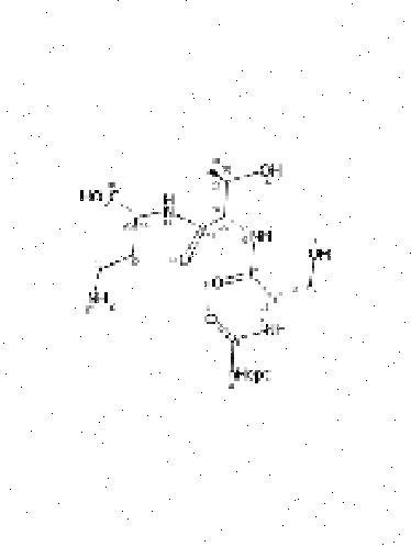 CCCCCCCC(=O)N[C@@H](CO)C(=O)N[C@H](C(=O)N[C@H](CCN)C(=O)O)[C@@H](C)O